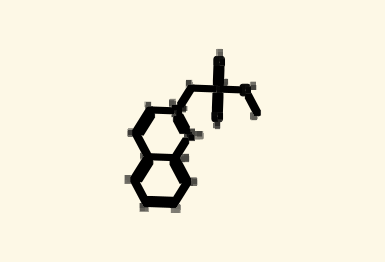 COS(=O)(=O)C[n+]1ccc2ccccc2n1